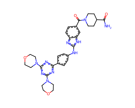 NC(=O)C1CCN(C(=O)c2ccc3nc(Nc4ccc(-c5nc(N6CCOCC6)nc(N6CCOCC6)n5)cc4)[nH]c3c2)CC1